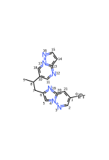 CC(C)c1cnn2cc(CC(C)c3cnc4ccnn4c3)nc2c1